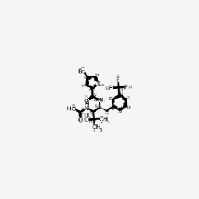 CC(C)(C)C(NC(=O)O)[C@H](Cc1cccc(C(F)(F)F)c1)NC(=O)c1cc(Br)cs1